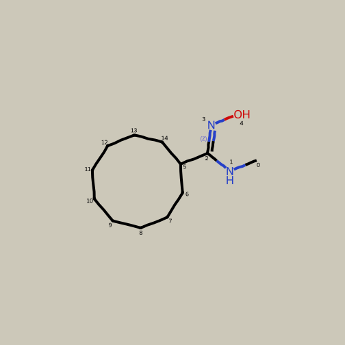 CN/C(=N\O)C1CCCCCCCCC1